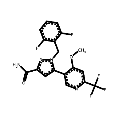 COc1cc(C(F)(F)F)ncc1-c1cc(C(N)=O)nn1Cc1c(F)cccc1F